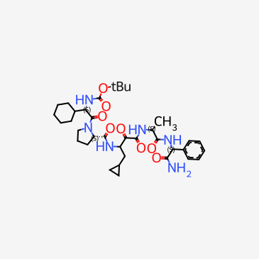 C[C@H](NC(=O)C(=O)C(CC1CC1)NC(=O)[C@@H]1CCCN1C(=O)[C@@H](NC(=O)OC(C)(C)C)C1CCCCC1)C(=O)N[C@H](C(N)=O)c1ccccc1